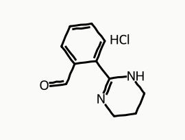 Cl.O=Cc1ccccc1C1=NCCCN1